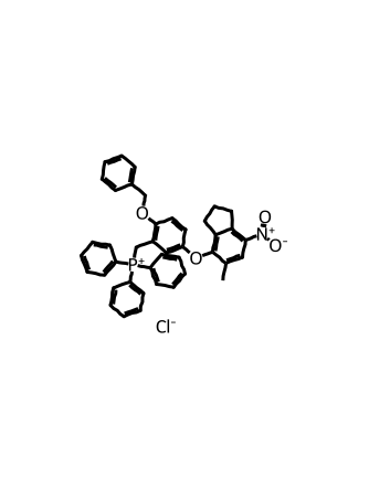 Cc1cc([N+](=O)[O-])c2c(c1Oc1ccc(OCc3ccccc3)c(C[P+](c3ccccc3)(c3ccccc3)c3ccccc3)c1)CCC2.[Cl-]